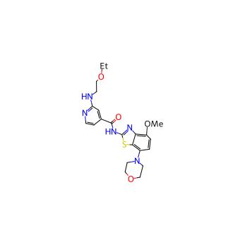 CCOCCNc1cc(C(=O)Nc2nc3c(OC)ccc(N4CCOCC4)c3s2)ccn1